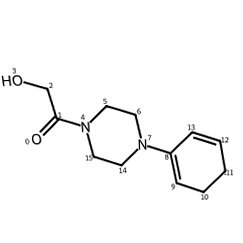 O=C(CO)N1CCN(C2=CC[CH]C=C2)CC1